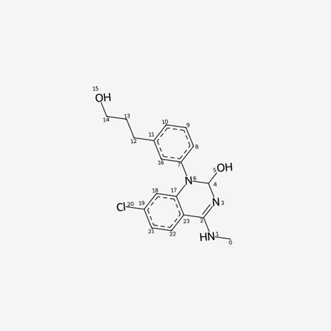 CNC1=NC(O)N(c2cccc(CCCO)c2)c2cc(Cl)ccc21